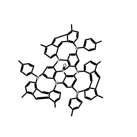 Cc1ccc(N2c3cc4c5c(c3)N3c6cc(cc7c6P5(=O)c5c6cc(cc5N4c4ccc(C)c5cc8c(C)ccc2c8cc45)N(c2ccc(C)cc2)c2ccc(C)c4cc5c(C)ccc(c5cc24)N67)N(c2ccc(C)cc2)c2ccc(C)c4cc5c(C)ccc3c5cc24)cc1